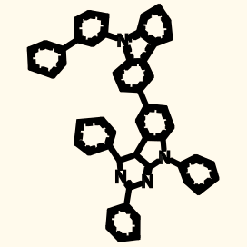 c1ccc(C2=NC(c3ccccc3)C3C(=N2)N(c2ccccc2)c2ccc(-c4ccc5c(c4)c4ccccc4n5-c4cccc(-c5ccccc5)c4)cc23)cc1